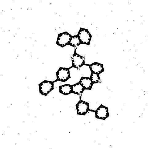 c1ccc(-c2ccc(-c3nc(-c4cccc5oc6cc7c(cc6c45)c4ccccc4n7-c4cccc(-c5ccccc5)c4)nc(-n4c5ccccc5c5ccccc54)n3)cc2)cc1